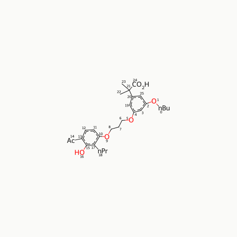 CCCCOc1cc(OCCCOc2ccc(C(C)=O)c(O)c2CCC)cc(C(C)(C)C(=O)O)c1